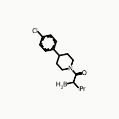 BC(C(=O)N1CCC(c2ccc(Cl)cc2)CC1)C(C)C